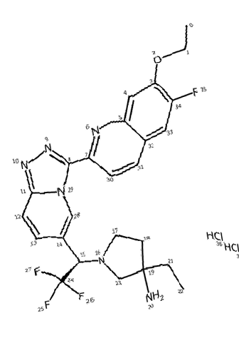 CCOc1cc2nc(-c3nnc4ccc([C@@H](N5CCC(N)(CC)C5)C(F)(F)F)cn34)ccc2cc1F.Cl.Cl